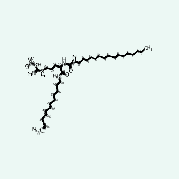 CCCCCCCCCCCCCCCCNC(=O)NC(CCCNC(=N)N[N+](=O)[O-])C(=O)NCCCCCCCCCCCC